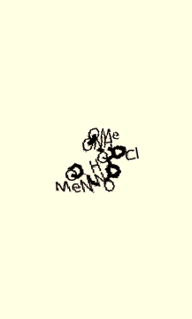 CNC(CNC(=O)c1cccc([C@@H](OCCNC(=O)OC)c2cc(Cl)ccc2C)c1)C[C@H]1CCCOC1